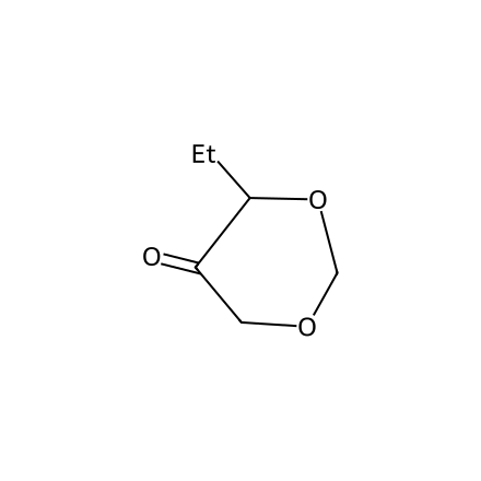 CCC1OCOCC1=O